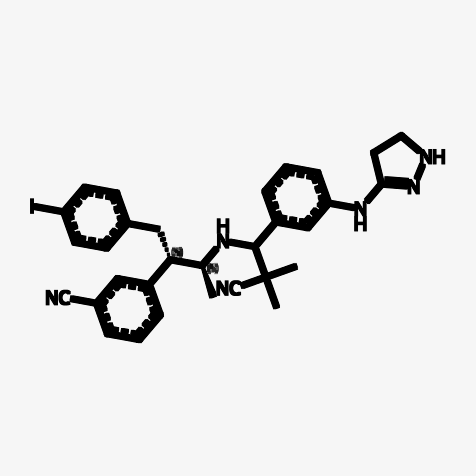 C[C@H](NC(c1cccc(NC2=NNCC2)c1)C(C)(C)C#N)[C@@H](Cc1ccc(I)cc1)c1cccc(C#N)c1